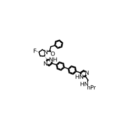 CCCNCc1ncc(-c2ccc(-c3ccc(-c4cnc([C@@H]5C[C@H](F)CN5C(=O)Cc5ccccc5)[nH]4)cc3)cc2)[nH]1